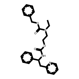 CCN(CCOC(=O)NC(Cc1ccccn1)c1ccccc1)C(=O)OCc1ccccc1